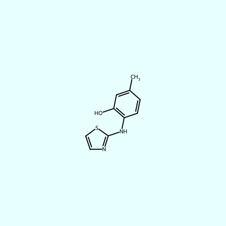 Cc1ccc(Nc2nccs2)c(O)c1